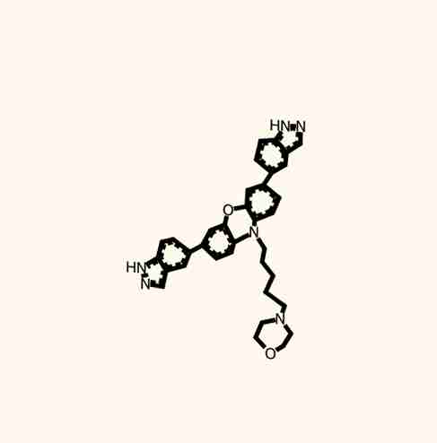 c1cc2c(cc1-c1ccc3[nH]ncc3c1)Oc1cc(-c3ccc4[nH]ncc4c3)ccc1N2CCCCCN1CCOCC1